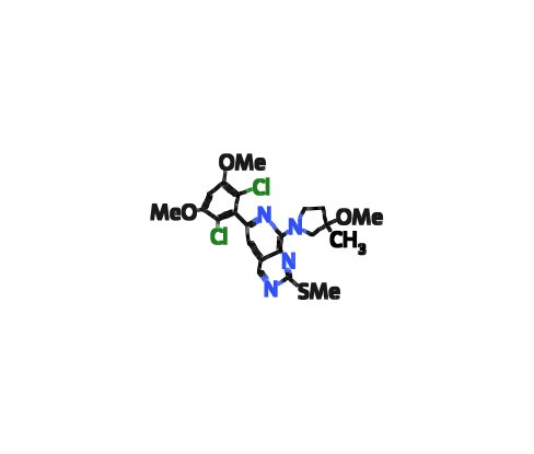 COc1cc(OC)c(Cl)c(-c2cc3cnc(SC)nc3c(N3CCC(C)(OC)C3)n2)c1Cl